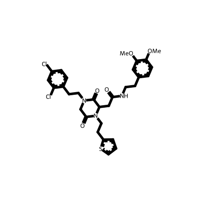 COc1ccc(CCNC(=O)CC2C(=O)N(CCc3ccc(Cl)cc3Cl)CC(=O)N2CCc2cccs2)cc1OC